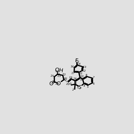 CC1(C)Sc2ccccc2C(c2ccc(F)cc2)=C1C=C[C@H]1C[C@H](O)CC(=O)O1